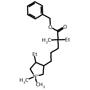 CCC1C[N+](C)(C)CC1CCCC(C)(CC)C(=O)OCc1ccccc1